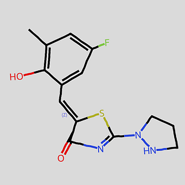 Cc1cc(F)cc(/C=C2\SC(N3CCCN3)=NC2=O)c1O